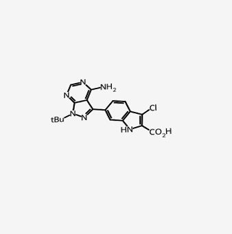 CC(C)(C)n1nc(-c2ccc3c(Cl)c(C(=O)O)[nH]c3c2)c2c(N)ncnc21